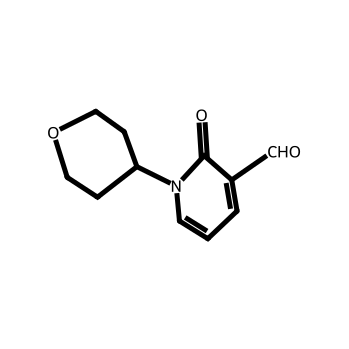 O=Cc1cccn(C2CCOCC2)c1=O